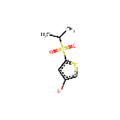 CC(C)S(=O)(=O)c1cc(Br)cs1